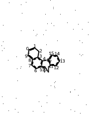 C1=CCc2c3c(ccc2=C1)=Nc1ccccc1-3